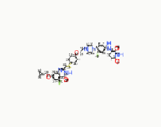 O=C1CCC(Nc2ccc(N3CCN(CCOC4CCC(SCc5nc6cc(OCC7CC7)cc(F)c6c(=O)[nH]5)CC4)CC3)c(F)c2)C(=O)N1